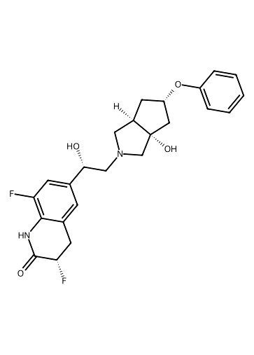 O=C1Nc2c(F)cc([C@H](O)CN3C[C@H]4C[C@H](Oc5ccccc5)C[C@@]4(O)C3)cc2C[C@@H]1F